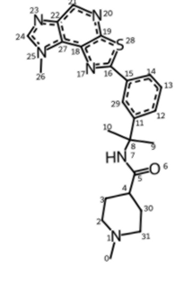 CN1CCC(C(=O)NC(C)(C)c2cccc(-c3nc4c(ncc5ncn(C)c54)s3)c2)CC1